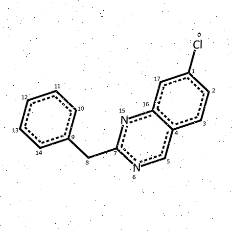 Clc1ccc2cnc(Cc3ccccc3)nc2c1